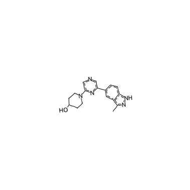 Cc1n[nH]c2ccc(-c3cncc(N4CCC(O)CC4)n3)cc12